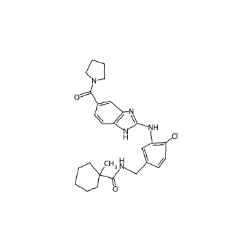 CC1(C(=O)NCc2ccc(Cl)c(Nc3nc4cc(C(=O)N5CCCC5)ccc4[nH]3)c2)CCCCC1